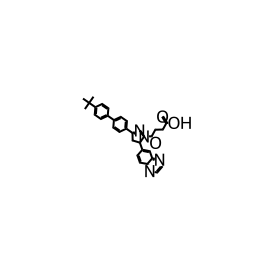 CC(C)(C)c1ccc(-c2ccc(C3=NN(C(=O)CCC(=O)O)C(c4ccc5nccnc5c4)C3)cc2)cc1